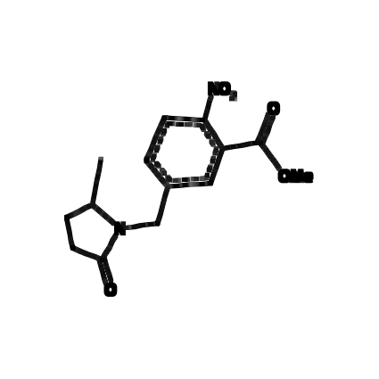 COC(=O)c1cc(CN2C(=O)CCC2C)ccc1[N+](=O)[O-]